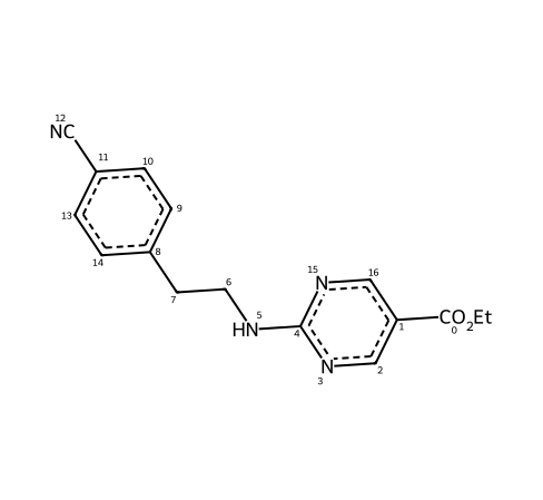 CCOC(=O)c1cnc(NCCc2ccc(C#N)cc2)nc1